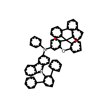 c1ccc(-c2cccc(-c3ccccc3)c2-n2c3ccccc3c3cc(N(c4ccccc4)c4ccc5c(c4)Oc4ccccc4C54c5ccccc5-c5cccc6cccc4c56)ccc32)cc1